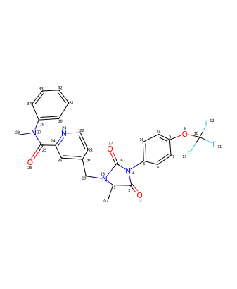 CC1C(=O)N(c2ccc(OC(F)(F)F)cc2)C(=O)N1Cc1ccnc(C(=O)N(C)c2ccccc2)c1